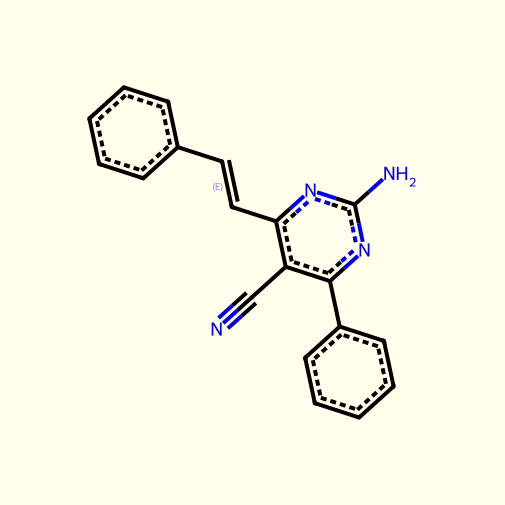 N#Cc1c(/C=C/c2ccccc2)nc(N)nc1-c1ccccc1